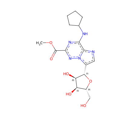 COC(=O)c1nc(NC2CCCC2)c2ncc([C@@H]3O[C@H](CO)[C@@H](O)[C@H]3O)n2n1